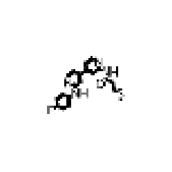 CSCCC(=O)Nc1cc(-c2ccnc(Nc3ccc(F)cc3)c2)ccn1